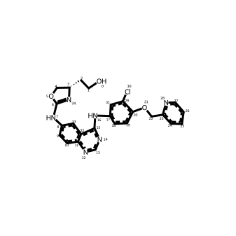 OCC[C@H]1COC(Nc2ccc3ncnc(Nc4ccc(OCc5ccccn5)c(Cl)c4)c3c2)=N1